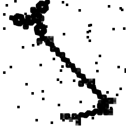 Cc1ccc(S(=O)(=O)CC(CS(=O)(=O)c2ccc(C)cc2)C(=O)c2ccc(C(=O)NCCOCCOCCOCCOCCC(=O)NCCCCCOP(=O)(O)OP(=O)(O)OCCCCCNC(=O)O)cc2)cc1